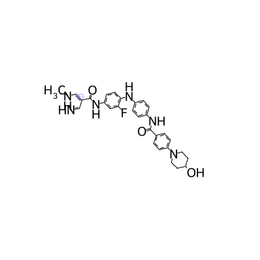 CN/C=C(\C=N)C(=O)Nc1ccc(Nc2ccc(NC(=O)c3ccc(N4CCC(O)CC4)cc3)cc2)c(F)c1